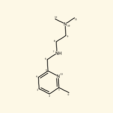 Cc1cccc(CNCCN(C)C)n1